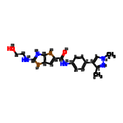 Cc1nn(C)cc1-c1ccc(NC(=O)c2cc3sc(NCCO)nc3s2)cc1